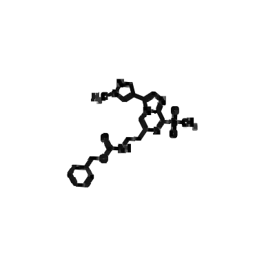 Cn1cc(-c2cnc3c(S(C)(=O)=O)nc(CCNC(=O)OCc4ccccc4)cn23)cn1